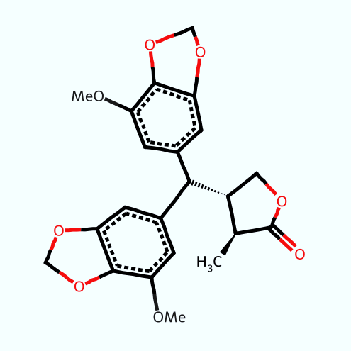 COc1cc(C(c2cc(OC)c3c(c2)OCO3)[C@@H]2COC(=O)[C@H]2C)cc2c1OCO2